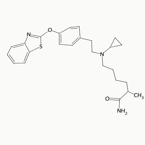 CC(CCCCN(CCc1ccc(Oc2nc3ccccc3s2)cc1)C1CC1)C(N)=O